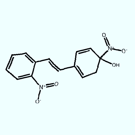 O=[N+]([O-])c1ccccc1C=CC1=CCC(O)([N+](=O)[O-])C=C1